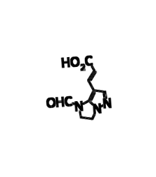 O=CN1CCn2ncc(C=CC(=O)O)c21